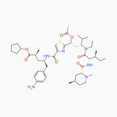 CC[C@H](C)[C@H](NC(=O)[C@H]1C[C@H](C)CCN1C)C(=O)N(CC)[C@H](C[C@@H](OC(C)=O)c1nc(C(=O)N[C@@H](Cc2ccc(N)cc2)C[C@H](C)C(=O)OC2CCCC2)cs1)C(C)C